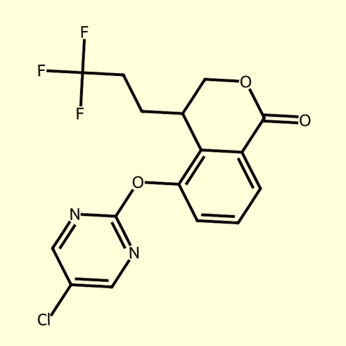 O=C1OCC(CCC(F)(F)F)c2c(Oc3ncc(Cl)cn3)cccc21